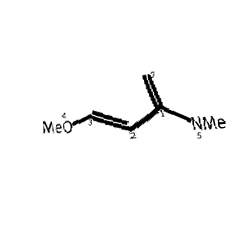 C=C(/C=C/OC)NC